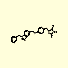 O=C1NC(=O)C(Cc2ccc(OCc3ccc4c(c3)ncn4Cc3ccccc3)cc2)S1